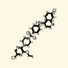 CCOc1nc(Cl)cnc1N1CCN(S(=O)(=O)c2ccc(Nc3ccnc4cc(Cl)ccc34)cc2)CC1